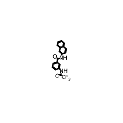 O=C(Nc1ccc2ccccc2c1)c1cccc(NC(=O)C(F)(F)F)c1